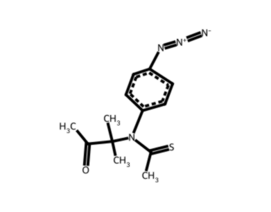 CC(=O)C(C)(C)N(C(C)=S)c1ccc(N=[N+]=[N-])cc1